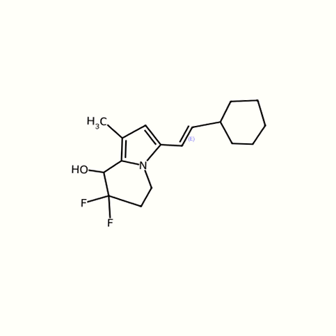 Cc1cc(/C=C/C2CCCCC2)n2c1C(O)C(F)(F)CC2